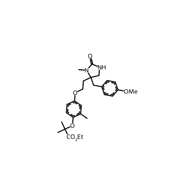 CCOC(=O)C(C)(C)Oc1ccc(OCCC2(Cc3ccc(OC)cc3)CNC(=O)N2C)cc1C